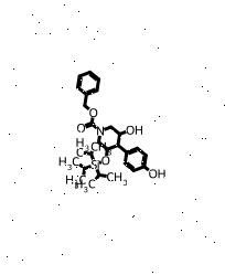 CC(C)[Si](OC1CN(C(=O)OCc2ccccc2)CC(O)C1c1ccc(O)cc1)(C(C)C)C(C)C